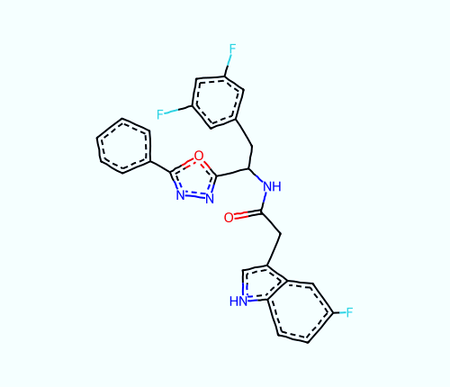 O=C(Cc1c[nH]c2ccc(F)cc12)NC(Cc1cc(F)cc(F)c1)c1nnc(-c2ccccc2)o1